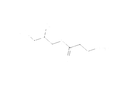 CCCCCCCCCC(=O)NCC(O)CC(=O)O